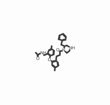 CC(=O)NCc1cc(C)ccc1Oc1cc(C)ccc1CCC(=O)N1CCNCC1Cc1ccccc1